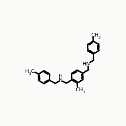 Cc1ccc(CNCc2ccc(CNCc3ccc(C)cc3)c(C)c2)cc1